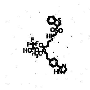 CN(CCc1ccc(C2=NCCN2)cc1)C(=O)CCCNCS(=O)(=O)c1csc2ccccc12.O=C(O)C(F)(F)F